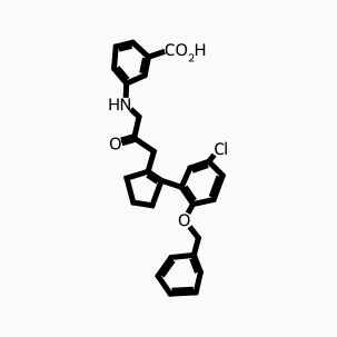 O=C(CNc1cccc(C(=O)O)c1)CC1=C(c2cc(Cl)ccc2OCc2ccccc2)CCC1